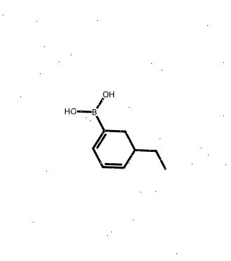 CCC1C=CC=C(B(O)O)C1